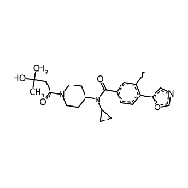 CC(C)(O)CC(=O)N1CCC(N(C(=O)c2ccc(-c3cnco3)c(F)c2)C2CC2)CC1